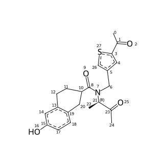 CC(=O)c1cc(CN(C(=O)C2CCc3cc(O)ccc3C2)[C@H](C)C(C)=O)cs1